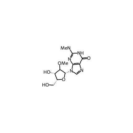 CNc1nc2c(ncn2[C@@H]2O[C@H](CO)[C@H](O)C2OC)c(=O)[nH]1